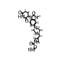 Cn1c(=O)n(C2CCC(=O)NC2=O)c2ccc(N3CCN(CC4CN(C(=O)OC(C)(C)C)C4)CC3)cc21